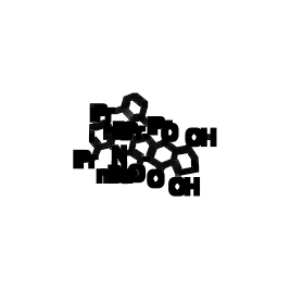 CCCCOc1c(Nc2c(C(C)C)cccc2C(C)C)c(Nc2c(C(C)C)cccc2C(C)C)cc2c1C(=O)c1c(O)ccc(O)c1C2=O